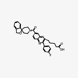 O=C(O)CCCCc1nc2cc(C(=O)N3CCC4(CC3)OCc3ccccc34)ccc2nc1-c1ccc(F)cc1